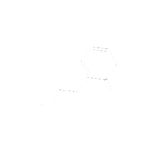 C=CCC1=CC=CCC1=O